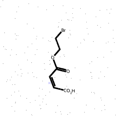 O=C(O)/C=C\C(=O)OCCBr